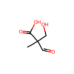 CC(C=O)(CO)C(=O)O